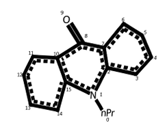 CCCn1c2ccccc2c(=O)c2ccccc21